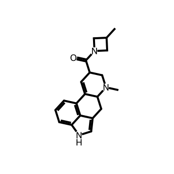 CC1CN(C(=O)C2C=C3c4cccc5[nH]cc(c45)CC3N(C)C2)C1